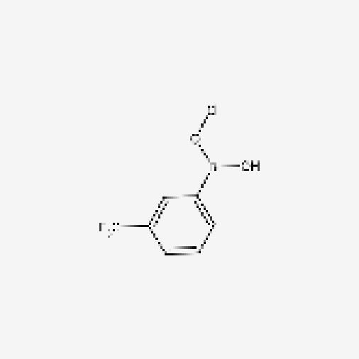 OB(OCl)c1cccc(C(F)(F)F)c1